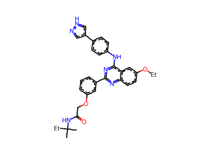 CCOc1ccc2nc(-c3cccc(OCC(=O)NC(C)(C)CC)c3)nc(Nc3ccc(-c4cn[nH]c4)cc3)c2c1